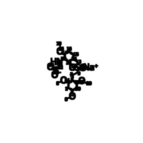 COc1cc(OC)c(CCS(=O)(=O)Cc2ccc(OC)c(NCC(=O)[O-])c2)c(OC)c1.[Na+]